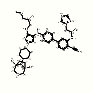 COC[C@H](C)COc1nn([C@H]2CC[C@H](N3[C@@H]4CC[C@H]3COC4)CC2)cc1Nc1ncc(-c2ccc(C#N)c(O[C@@H](C)Cn3cncn3)c2)cn1